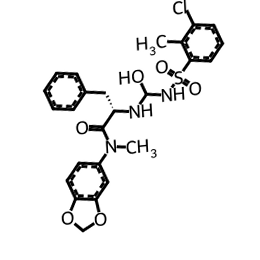 Cc1c(Cl)cccc1S(=O)(=O)NC(O)N[C@@H](Cc1ccccc1)C(=O)N(C)c1ccc2c(c1)OCO2